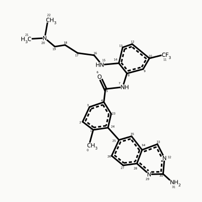 Cc1ccc(C(=O)Nc2cc(C(F)(F)F)ccc2NCCCCN(C)C)cc1-c1ccc2nc(N)ncc2c1